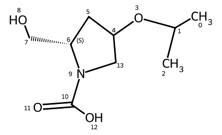 CC(C)OC1C[C@@H](CO)N(C(=O)O)C1